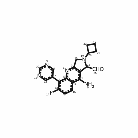 Nc1c2c(nc3c(-c4cncnc4)c(F)ccc13)CN(C1CCC1)C2C=O